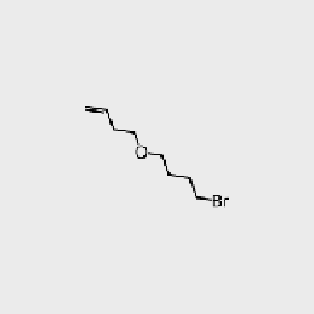 C=CCCOCCCCBr